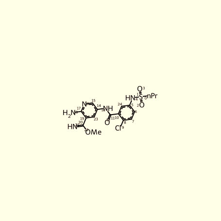 CCCS(=O)(=O)Nc1ccc(Cl)c(C(=O)Nc2cnc(N)c(C(=N)OC)c2)c1